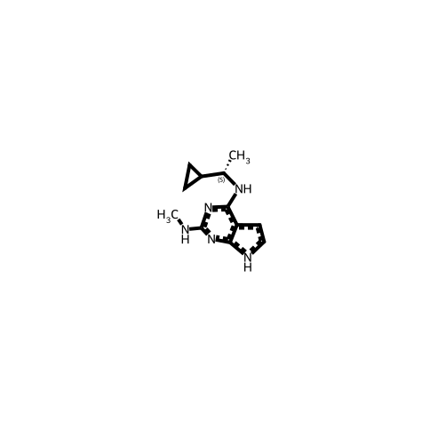 CNc1nc(N[C@@H](C)C2CC2)c2cc[nH]c2n1